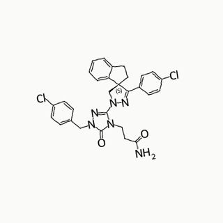 NC(=O)CCn1c(N2C[C@@]3(CCc4ccccc43)C(c3ccc(Cl)cc3)=N2)nn(Cc2ccc(Cl)cc2)c1=O